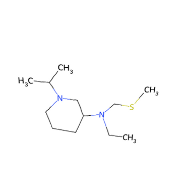 CCN(CSC)C1CCCN(C(C)C)C1